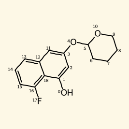 Oc1cc(OC2CCCCO2)cc2cccc(F)c12